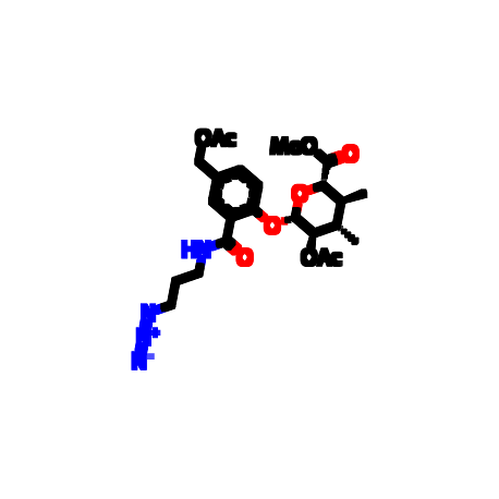 COC(=O)[C@H]1O[C@@H](Oc2ccc(COC(C)=O)cc2C(=O)NCCCN=[N+]=[N-])[C@H](OC(C)=O)[C@@H](C)[C@@H]1C